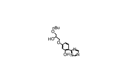 CCCCOCC(O)COc1ccc(-c2ncncn2)c(O)c1